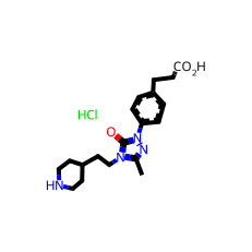 Cc1nn(-c2ccc(CCC(=O)O)cc2)c(=O)n1CCC1CCNCC1.Cl